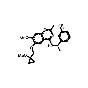 COc1cc2nc(C)nc(N[C@H](C)c3cccc(C(F)(F)F)c3)c2cc1OCC1(OC)CC1